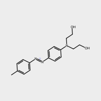 Cc1ccc(/N=N/c2ccc(N(CCO)CCO)cc2)cc1